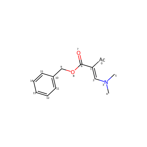 CC(=O)C(=CN(C)C)C(=O)OCc1ccccc1